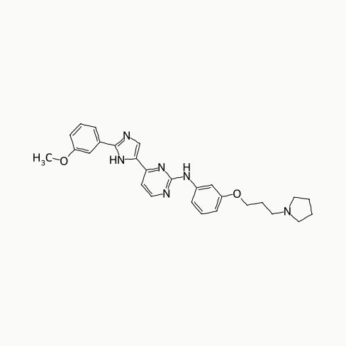 COc1cccc(-c2ncc(-c3ccnc(Nc4cccc(OCCCN5CCCC5)c4)n3)[nH]2)c1